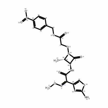 CO/N=C(\C(=O)N[C@@H]1C(=O)N(OCC(=O)OCc2ccc([N+](=O)[O-])cc2)[C@H]1C)c1csc(N)n1